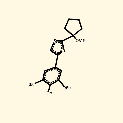 COC1(c2nc(-c3cc(C(C)(C)C)c(O)c(C(C)(C)C)c3)cs2)CCCC1